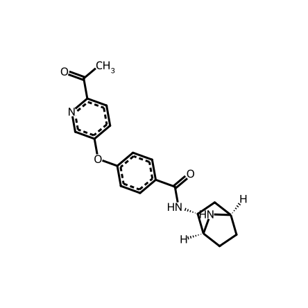 CC(=O)c1ccc(Oc2ccc(C(=O)N[C@@H]3C[C@H]4CC[C@@H]3N4)cc2)cn1